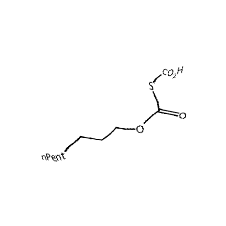 CCCCCCCCOC(=O)SC(=O)O